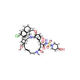 CO[C@H]1/C=C/CCN(C)C(=O)C[C@](O)(C(=O)NS(=O)(=O)N2CCC(O)CC2)c2ccc3c(c2)N(C[C@@H]2CC[C@H]21)C[C@@]1(CCCc2cc(Cl)ccc21)CO3